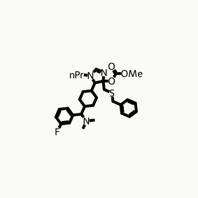 CCCN1C=NC(CSCc2ccccc2)(OC(=O)OC)C1C1CCC(C(c2cccc(F)c2)N(C)C)CC1